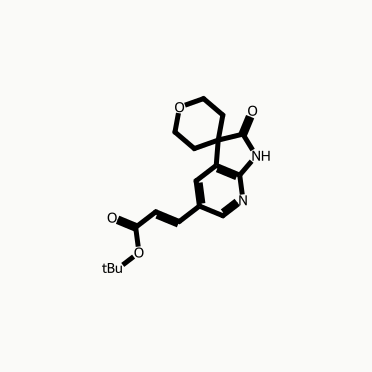 CC(C)(C)OC(=O)C=Cc1cnc2c(c1)C1(CCOCC1)C(=O)N2